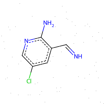 N=Cc1cc(Cl)cnc1N